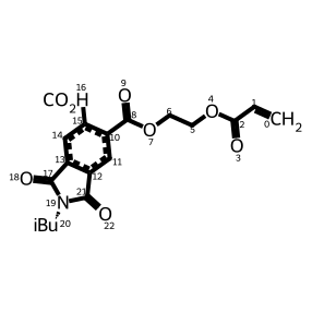 C=CC(=O)OCCOC(=O)c1cc2c(cc1C(=O)O)C(=O)N([C@@H](C)CC)C2=O